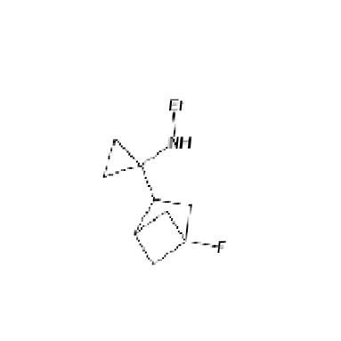 CCNC1(C2CC3(F)CC2C3)CC1